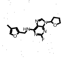 Cc1coc(CNc2nc(F)nc3c2ncn3C2CCCO2)c1